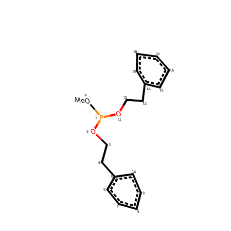 COP(OCCc1ccccc1)OCCc1ccccc1